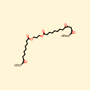 CCCCCCCCC1OC1CCCCCCCC(=O)OCCCOC(=O)CCCCCCCC1OC1CC1OC1CCCCC